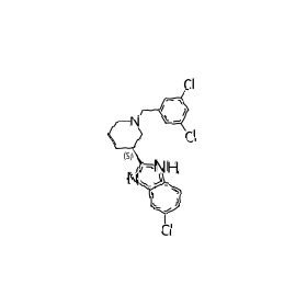 Clc1cc(Cl)cc(CN2CCC[C@H](c3nc4cc(Cl)ccc4[nH]3)C2)c1